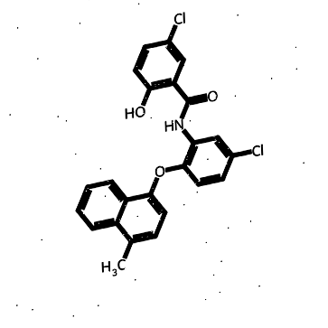 Cc1ccc(Oc2ccc(Cl)cc2NC(=O)c2cc(Cl)ccc2O)c2ccccc12